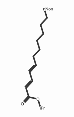 CCCCCCCCCCCCCCCC=CC=CC(=O)OC(C)C